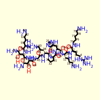 N=C(N)NCC/C=C(\NC(=O)[C@H](CCCCN)NC(=O)C(Cc1cnc[nH]1)NC(=O)C1CCCN1C(=O)[C@@H](CCCN)NC(=O)CNC(=O)[C@@H](NC(=O)[C@@H](NC(=O)C(N)CCCCN)C(O)CN)[C@@H](O)CN)C(=O)NCCCCCN